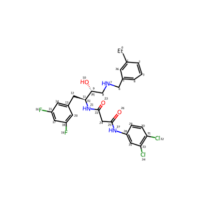 CCc1cccc(CNC[C@@H](O)[C@H](Cc2cc(F)cc(F)c2)NC(=O)CC(=O)Nc2ccc(Cl)c(Cl)c2)c1